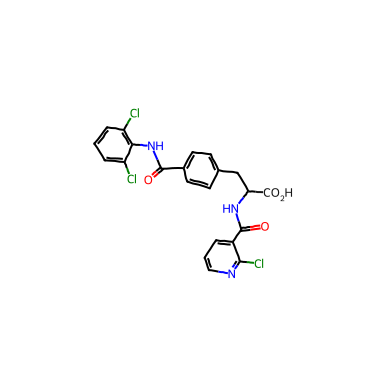 O=C(Nc1c(Cl)cccc1Cl)c1ccc(CC(NC(=O)c2cccnc2Cl)C(=O)O)cc1